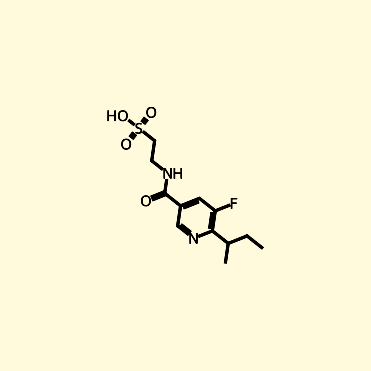 CCC(C)c1ncc(C(=O)NCCS(=O)(=O)O)cc1F